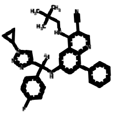 [2H]C(Nc1cc(-c2ccccc2)c2ncc(C#N)c(NCC(C)(C)C)c2c1)(c1ccc(F)cc1)c1cn(C2CC2)nn1